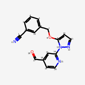 N#Cc1cccc(COc2ccnn2-c2cc(C=O)ccn2)c1